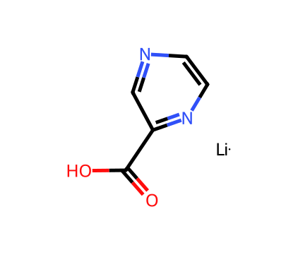 O=C(O)c1cnccn1.[Li]